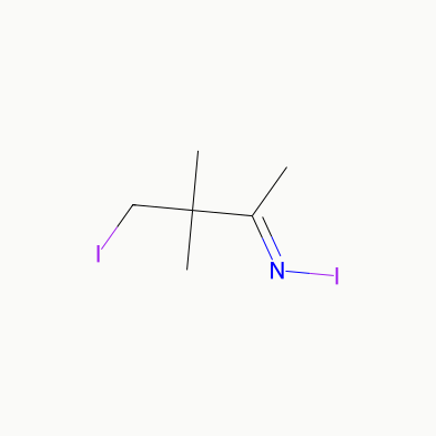 C/C(=N\I)C(C)(C)CI